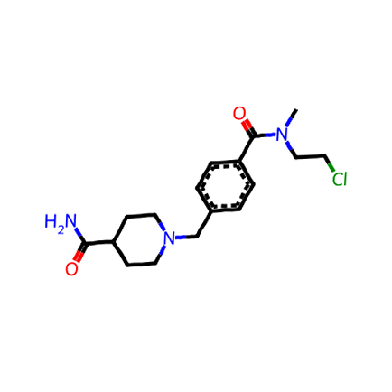 CN(CCCl)C(=O)c1ccc(CN2CCC(C(N)=O)CC2)cc1